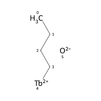 CCC[CH2][Tb+2].[O-2]